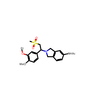 CCOc1cc(C(CS(C)(=O)=O)N2Cc3ccc(NC(C)=O)cc3C2)ccc1OC